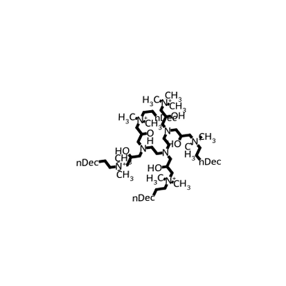 CCCCCCCCCCCC[N+](C)(C)CC(O)CN(CCN(CC(O)C[N+](C)(C)C)CC(O)C[N+](C)(C)CCCCCCCCCCCC)CCN(CC(O)C[N+](C)(C)CCCCCCCCCCCC)CC(O)C[N+](C)(C)CCCCCCCCCCCC